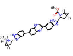 CC(C)(C)OC(=O)N1[C@@H]2C[C@H]2C[C@H]1c1nc2ccc(-c3cnc4cc(-c5ccc6[nH]c([C@@H]7C[C@H]8C[C@H]8N7C(=O)O)nc6c5)ccc4n3)cc2[nH]1